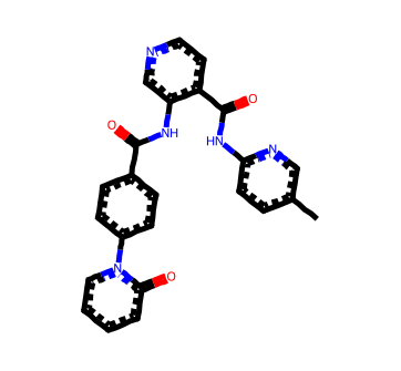 Cc1ccc(NC(=O)c2ccncc2NC(=O)c2ccc(-n3ccccc3=O)cc2)nc1